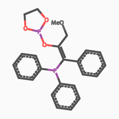 COC/C(OP1OCCO1)=C(\c1ccccc1)P(c1ccccc1)c1ccccc1